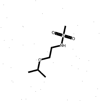 CC(C)OCCNS(C)(=O)=O